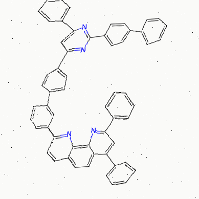 c1ccc(-c2ccc(-c3nc(-c4ccccc4)cc(-c4ccc(-c5cccc(-c6ccc7ccc8c(-c9ccccc9)cc(-c9ccccc9)nc8c7n6)c5)cc4)n3)cc2)cc1